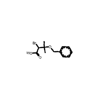 CC(C)(OCc1ccccc1)C(Br)C(=O)O